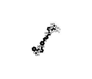 CC(C)[C@H](NC(=O)O)C(=O)N1CCC[C@H]1c1ncc(-c2cc3sc(-c4ccc5[nH]c(C6CCCN6C(=O)[C@H](NC(=O)O)c6ccccc6)nc5c4)cc3s2)[nH]1